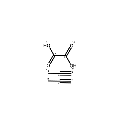 C#CC.C#CC.O=C(O)C(=O)O